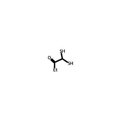 CCC(=O)C(S)S